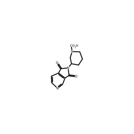 O=C(O)N1CCCC(N2C(=O)c3ccncc3C2=O)C1